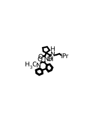 CC(C)CCNC(=O)C1(C(=O)NC2C(=O)N(C)c3ccccc3-c3ccccc32)CCCC1